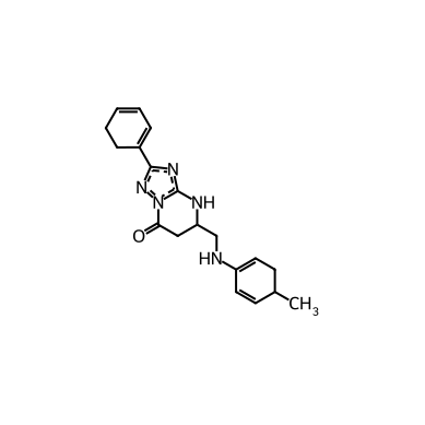 CC1C=CC(NCC2CC(=O)n3nc(C4=CC=CCC4)nc3N2)=CC1